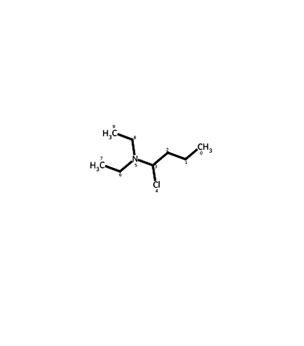 CCCC(Cl)N(CC)CC